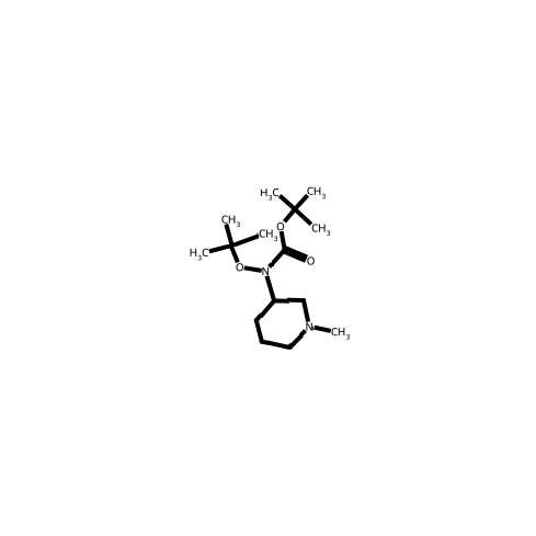 CN1CCCC(N(OC(C)(C)C)C(=O)OC(C)(C)C)C1